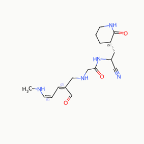 CN/C=C\C=C(/C=O)CNCC(=O)NC(C#N)C[C@@H]1CCCNC1=O